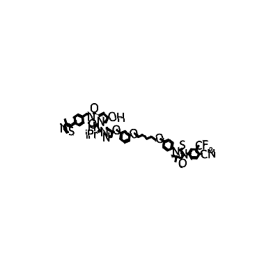 Cc1ncsc1-c1ccc(CNC(=O)[C@@H]2C[C@@H](O)CN2C(=O)C(C(C)C)n2cc(Oc3cccc(OCCCCCOc4ccc(N5C(=S)N(c6ccc(C#N)c(C(F)(F)F)c6)C(=O)C5(C)C)cc4)c3)cn2)cc1